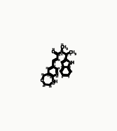 CC(c1cc2ccccc2[nH]1)N(C)C(=O)C=Cc1cnc2c(c1)COCCN2